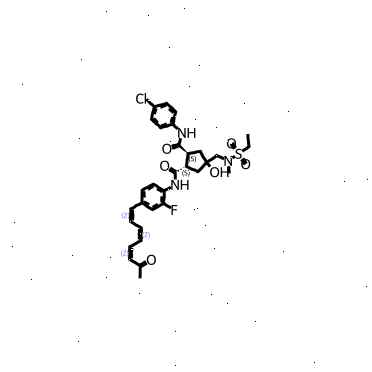 CCS(=O)(=O)N(C)CC1(O)C[C@H](C(=O)Nc2ccc(Cl)cc2)[C@@H](C(=O)Nc2ccc(\C=C/C=C\C=C/C(C)=O)cc2F)C1